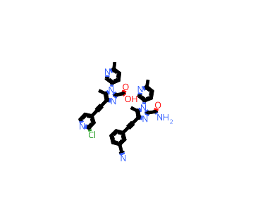 Cc1ccc(-n2c(C(=O)O)nc(C#Cc3ccnc(Cl)c3)c2C)cn1.Cc1ccc(-n2c(C(N)=O)nc(C#Cc3cccc(C#N)c3)c2C)cn1